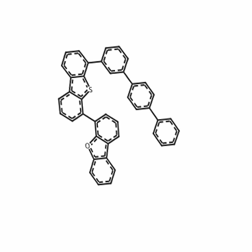 c1ccc(-c2ccc(-c3cccc(-c4cccc5c4sc4c(-c6cccc7c6oc6ccccc67)cccc45)c3)cc2)cc1